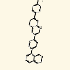 FC(F)(F)c1ccc(-c2ccc3cc(-c4ccc(-c5cccc6ccccc56)cc4)cnc3c2)cc1